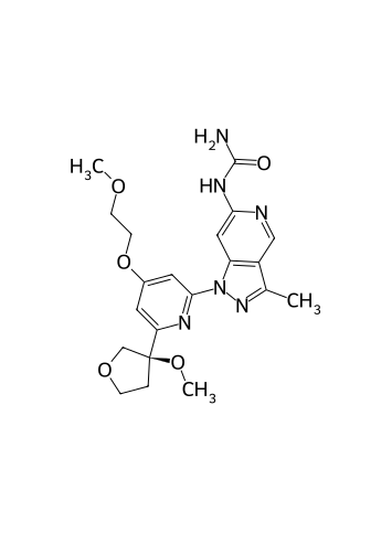 COCCOc1cc(-n2nc(C)c3cnc(NC(N)=O)cc32)nc([C@]2(OC)CCOC2)c1